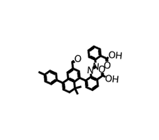 Cc1ccc(C2=CCC(C)(C)c3c2cc(C=O)cc3-c2cccc(C(=O)O)c2N=Nc2ccccc2C(=O)O)cc1